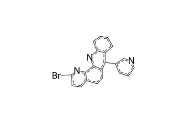 Brc1ccc2ccc3c(-c4cccnc4)c4ccccc4nc3c2n1